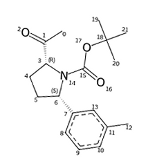 CC(=O)[C@H]1CC[C@@H](c2cccc(C)c2)N1C(=O)OC(C)(C)C